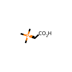 CP(C)(C)=CC(=O)O